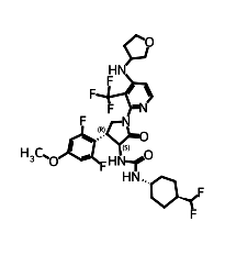 COc1cc(F)c([C@@H]2CN(c3nccc(NC4CCOC4)c3C(F)(F)F)C(=O)[C@H]2NC(=O)N[C@H]2CC[C@H](C(F)F)CC2)c(F)c1